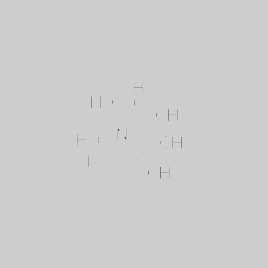 CCN1C(C(C)C)=C(C)C(C)=CC1(C)C